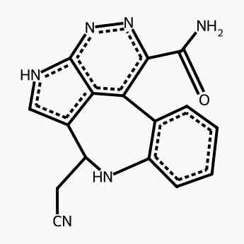 N#CCC1Nc2ccccc2-c2c(C(N)=O)nnc3[nH]cc1c23